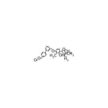 Cc1c(OCc2cccc(-c3ccc(COC=O)cc3)c2)ccc(C(=O)CC(C)(C)C)c1O